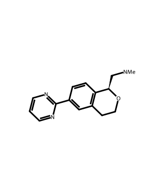 CNC[C@H]1OCCc2cc(-c3ncccn3)ccc21